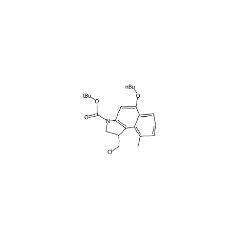 CCCCOc1cc2c(c3c(C)cccc13)C(CCl)CN2C(=O)OC(C)(C)C